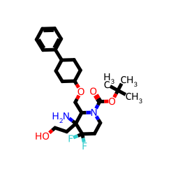 CC(C)(C)OC(=O)N1CCC(F)(F)C(N)(CCO)C1COC1CCC(c2ccccc2)CC1